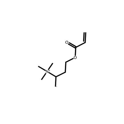 [CH2]C(CCOC(=O)C=C)[N+](C)(C)C